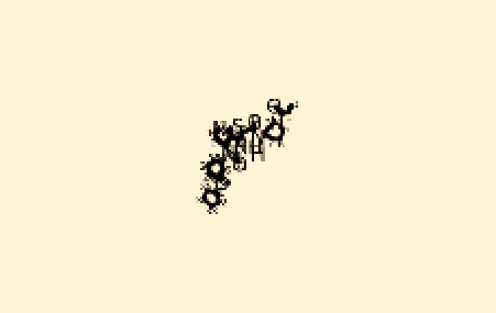 C=CC(=O)N1CCCC(NC(=O)c2sc3nccc4c3c2NC(=O)N4c2cccc(OC3CCCC3)c2)C1